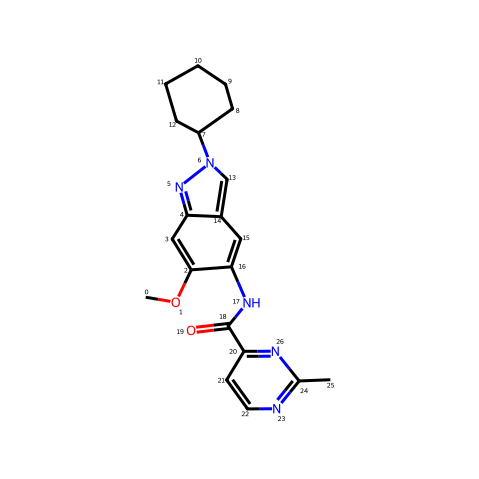 COc1cc2nn(C3CCCCC3)cc2cc1NC(=O)c1ccnc(C)n1